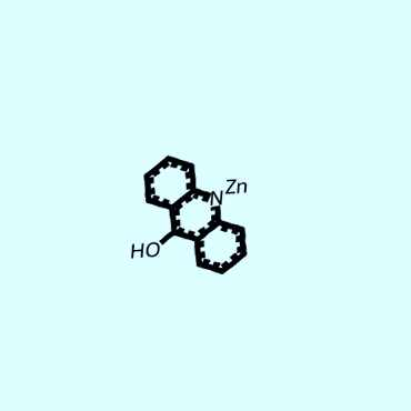 Oc1c2ccccc2nc2ccccc12.[Zn]